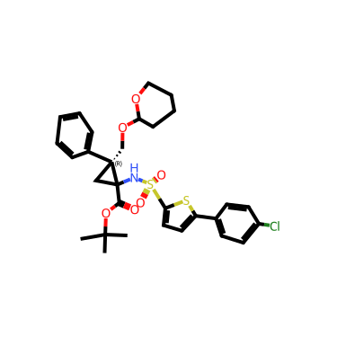 CC(C)(C)OC(=O)C1(NS(=O)(=O)c2ccc(-c3ccc(Cl)cc3)s2)C[C@@]1(COC1CCCCO1)c1ccccc1